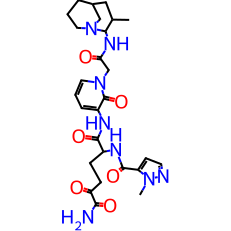 CC1CC2CCCN(C2)C1NC(=O)Cn1cccc(NC(=O)C(CCC(=O)C(N)=O)NC(=O)c2ccnn2C)c1=O